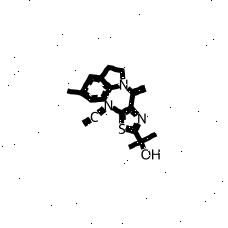 C=C=Nc1sc(C(C)(C)O)nc1C(=C)N1CCc2cc(C)ccc21